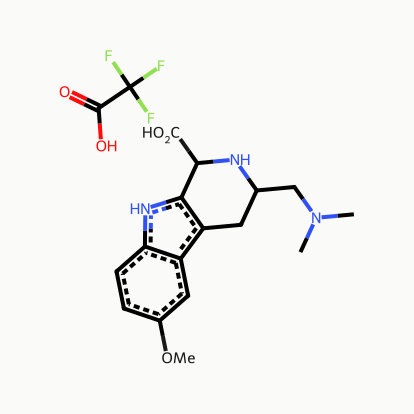 COc1ccc2[nH]c3c(c2c1)CC(CN(C)C)NC3C(=O)O.O=C(O)C(F)(F)F